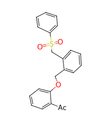 CC(=O)c1ccccc1OCc1ccccc1CS(=O)(=O)c1ccccc1